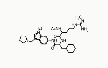 CCn1cc(CN2CCCC2)c2ccc(NC(=O)[C@H](CC3CCCCC3)NC(=O)[C@H](CCCN/C(N)=N\C)NC(C)=O)cc21